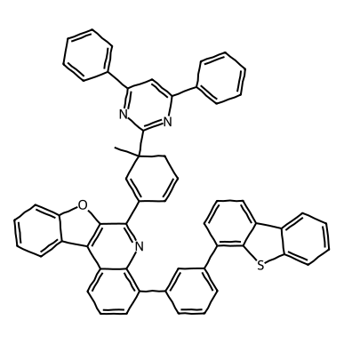 CC1(c2nc(-c3ccccc3)cc(-c3ccccc3)n2)C=C(c2nc3c(-c4cccc(-c5cccc6c5sc5ccccc56)c4)cccc3c3c2oc2ccccc23)C=CC1